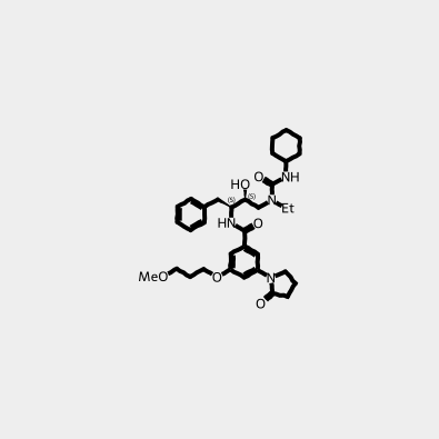 CCN(C[C@H](O)[C@H](Cc1ccccc1)NC(=O)c1cc(OCCCOC)cc(N2CCCC2=O)c1)C(=O)NC1CCCCC1